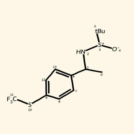 CC(N[S+]([O-])C(C)(C)C)c1ccc(SC(F)(F)F)cc1